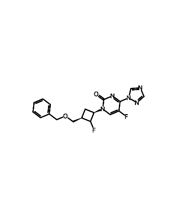 O=c1nc(-n2cncn2)c(F)cn1[C@@H]1C[C@H](COCc2ccccc2)C1F